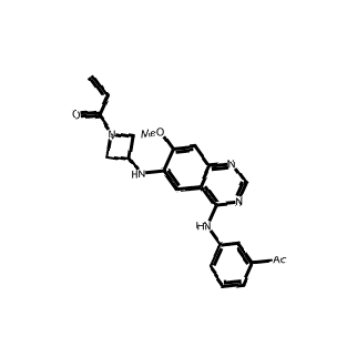 C=CC(=O)N1CC(Nc2cc3c(Nc4cccc(C(C)=O)c4)ncnc3cc2OC)C1